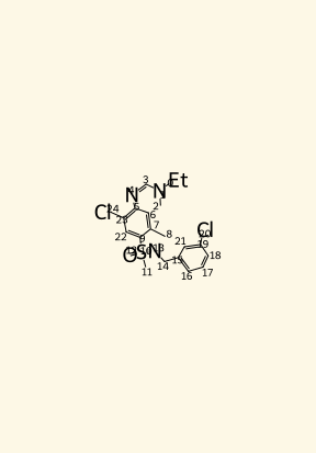 CCN(C)/C=N\c1cc(C)c(S(C)(=O)=NCc2cccc(Cl)c2)cc1Cl